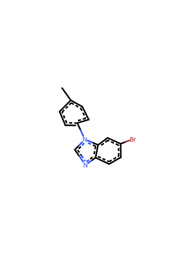 Cc1ccc(-n2cnc3ccc(Br)cc32)cc1